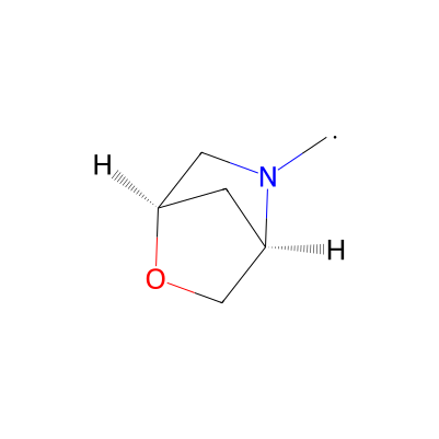 [CH2]N1C[C@H]2C[C@@H]1CO2